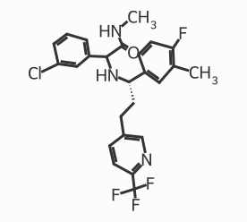 CNC(=O)C(N[C@@H](CCc1ccc(C(F)(F)F)nc1)c1ccc(F)c(C)c1)c1cccc(Cl)c1